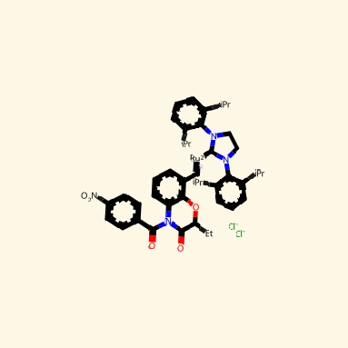 CCC1Oc2c(/[CH]=[Ru+2]/[CH]3N(c4c(C(C)C)cccc4C(C)C)CCN3c3c(C(C)C)cccc3C(C)C)cccc2N(C(=O)c2ccc([N+](=O)[O-])cc2)C1=O.[Cl-].[Cl-]